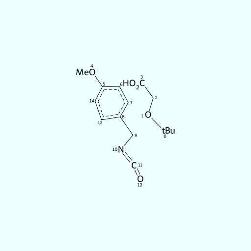 CC(C)(C)OCC(=O)O.COc1ccc(CN=C=O)cc1